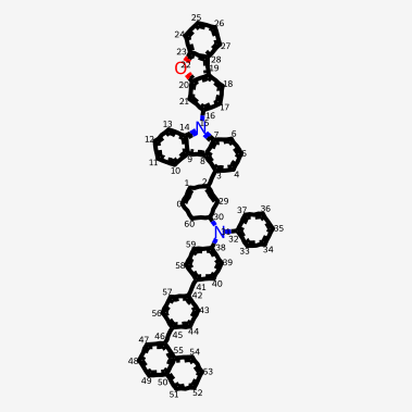 C1=CC(c2cccc3c2c2ccccc2n3-c2ccc3c(c2)oc2ccccc23)=CC(N(c2ccccc2)c2ccc(-c3ccc(-c4cccc5ccccc45)cc3)cc2)C1